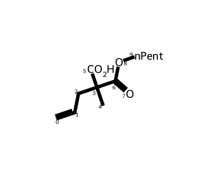 C=CCC(C)(C(=O)O)C(=O)OCCCCC